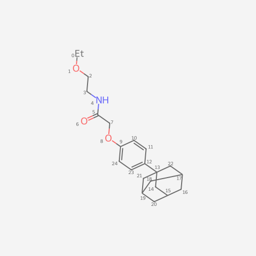 CCOCCNC(=O)COc1ccc(C23CC4CC(CC(C4)C2)C3)cc1